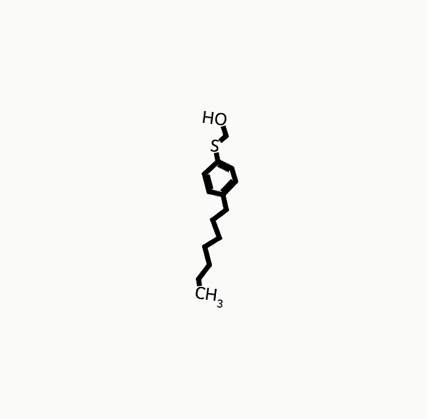 CCCCCCCc1ccc(SCO)cc1